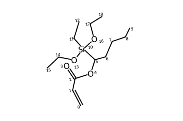 C=CC(=O)OC(CCCC)[Si](CC)(OCC)OCC